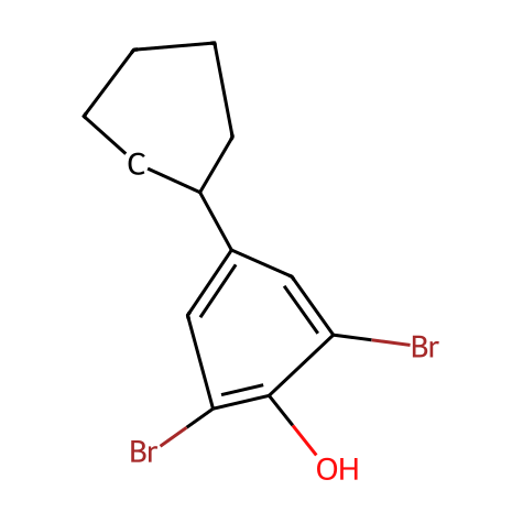 Oc1c(Br)cc(C2CCCCC2)cc1Br